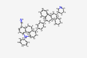 N#Cc1ccc2c3c1ccc1c(-c4ccc(-c5cc6c7ccccc7c(-c7cccnc7)cc6c6ccccc56)cc4)ccc(c13)n2-c1ccccc1